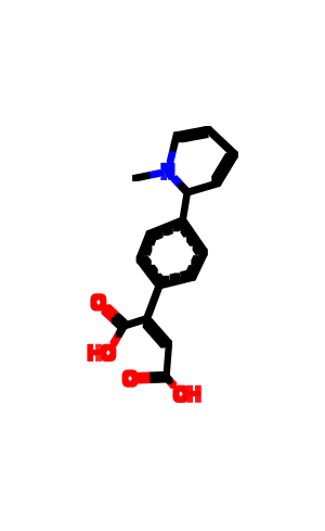 CN1C=CC=CC1c1ccc(/C(=C/C(=O)O)C(=O)O)cc1